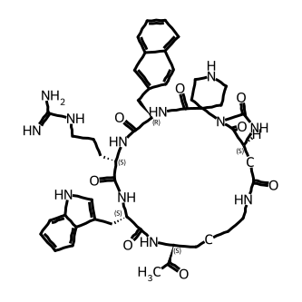 CC(=O)[C@@H]1CCCCNC(=O)C[C@@H]2NC(=O)N(C2=O)C2(CCNCC2)C(=O)N[C@H](Cc2ccc3ccccc3c2)C(=O)N[C@@H](CCCNC(=N)N)C(=O)N[C@@H](Cc2c[nH]c3ccccc23)C(=O)N1